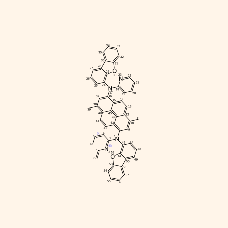 C=C/N=C(\C=C/C)N(c1cc(C)c2ccc3c(N(c4ccccn4)c4cccc5c4oc4ccccc45)cc(C)c4ccc1c2c43)c1cccc2c1oc1ccccc12